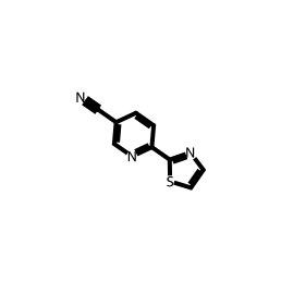 N#Cc1ccc(-c2nccs2)nc1